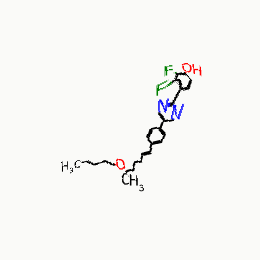 CCCCCOC(C)CCCC=Cc1ccc(-c2cnc(-c3ccc(O)c(F)c3F)nc2)cc1